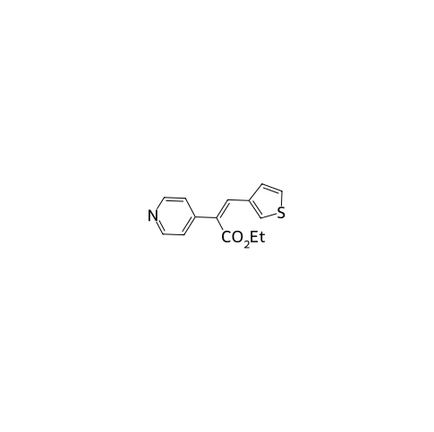 CCOC(=O)C(=Cc1ccsc1)c1ccncc1